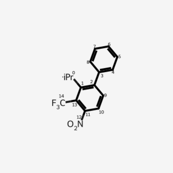 C[C](C)c1c(-c2ccccc2)ccc([N+](=O)[O-])c1C(F)(F)F